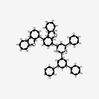 c1ccc(-c2cc(-c3ccccc3)cc(-c3nc(-c4ccccc4)cc(-c4ccc(-c5cccc6c5oc5ccccc56)c5c4oc4ccccc45)n3)c2)cc1